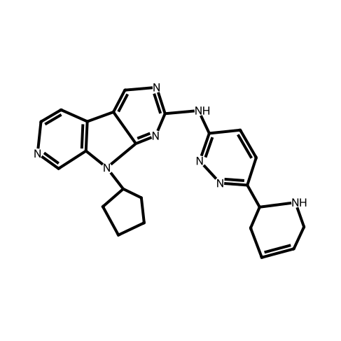 C1=CCC(c2ccc(Nc3ncc4c5ccncc5n(C5CCCC5)c4n3)nn2)NC1